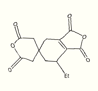 CCC1CC2(CC(=O)OC(=O)C2)CC2=C1C(=O)OC2=O